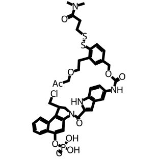 CC(=O)COCCc1cc(COC(=O)Nc2ccc3[nH]c(C(=O)N4CC(CCl)c5c4cc(OP(=O)(O)O)c4ccccc54)cc3c2)ccc1SSCCC(=O)N(C)C